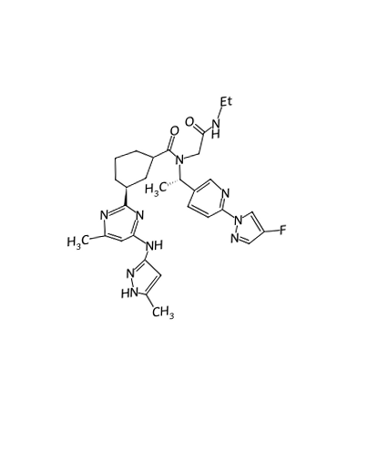 CCNC(=O)CN(C(=O)C1CCC[C@H](c2nc(C)cc(Nc3cc(C)[nH]n3)n2)C1)[C@@H](C)c1ccc(-n2cc(F)cn2)nc1